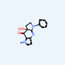 Cn1ccc2c1C(=O)C1(O)CCN(c3ccccc3)C1=N2